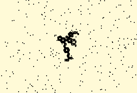 Cc1ccc(S(=O)(=O)N(CC(C)C)c2cc3c(cc2OCc2ccc(C=CC(=O)O)cc2)CCC3)o1